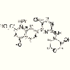 CCOC(=O)c1cc(=O)c2ccc(-c3nc(N[C@@H]4CCOC[C@H]4O)ncc3Cl)cc2n1C(C)C